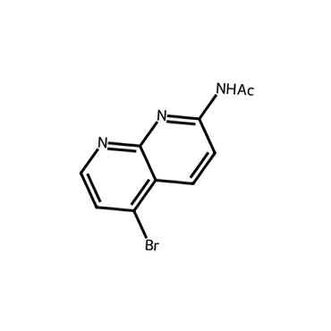 CC(=O)Nc1ccc2c(Br)ccnc2n1